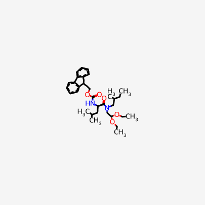 CCOC(CN(CC(C)CC)C(=O)C(CC(C)C)NC(=O)OCC1c2ccccc2-c2ccccc21)OCC